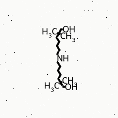 CC(C)(CO)CCCCCNCCCCCC(C)(C)CO